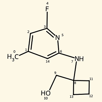 Cc1cc(F)nc(NC2(CO)CCC2)c1